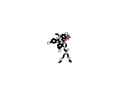 CCOCCN(CCOCC)C(=O)CN1CCN(C(=O)C2(c3cc(S(C)(=O)=O)c(Cl)cc3OCC)N[C@@](C)(c3ccc(Cl)cc3)[C@@](C)(c3ccc(Cl)cc3)N2)CC1